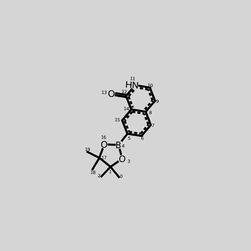 CC1(C)OB(c2ccc3cc[nH]c(=O)c3c2)OC1(C)C